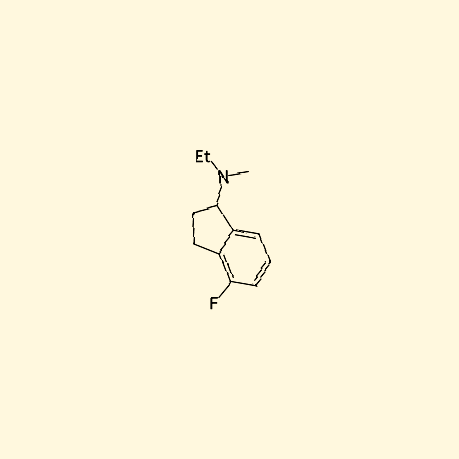 CCN(C)C1CCc2c(F)cccc21